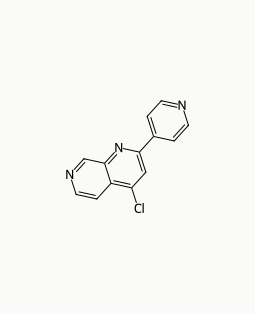 Clc1cc(-c2ccncc2)nc2cnccc12